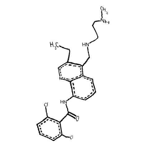 CCc1cnc2c(NC(=O)c3c(Cl)cccc3Cl)cccc2c1CNCCNC